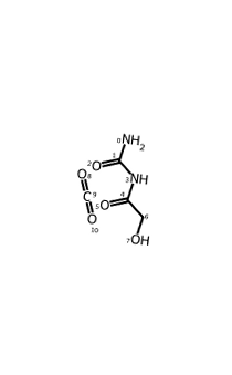 NC(=O)NC(=O)CO.O=C=O